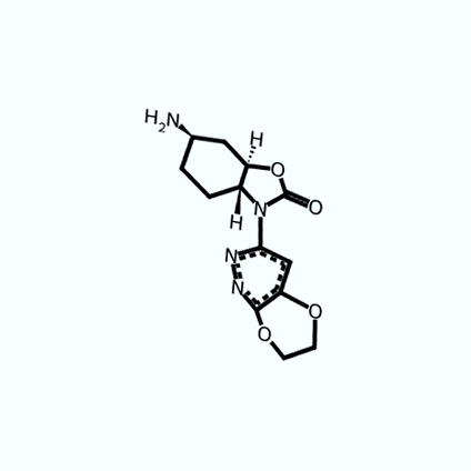 N[C@@H]1CC[C@@H]2[C@@H](C1)OC(=O)N2c1cc2c(nn1)OCCO2